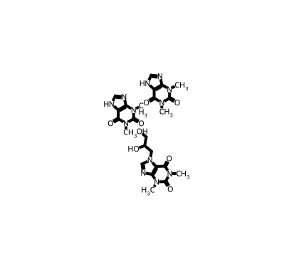 Cn1c(=O)c2[nH]cnc2n(C)c1=O.Cn1c(=O)c2[nH]cnc2n(C)c1=O.Cn1c(=O)c2c(ncn2CC(O)CO)n(C)c1=O